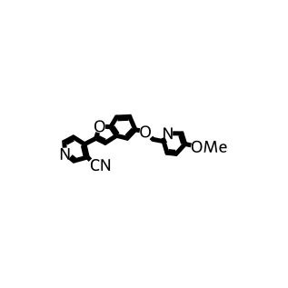 COc1ccc(COc2ccc3oc(-c4ccncc4C#N)cc3c2)nc1